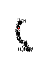 CN(C(=O)Cc1ccnc(N2CCN(CC3CCN(c4ccc(C(=O)NC5CCC(Oc6ccc(C#N)c(Cl)c6)CC5)nn4)CC3)CC2)c1)C1CCC(=O)NC1=O